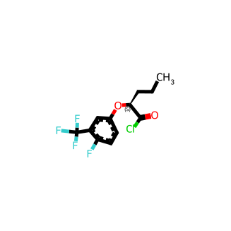 CCC[C@H](Oc1ccc(F)c(C(F)(F)F)c1)C(=O)Cl